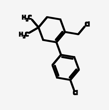 CC1(C)CCC(CCl)=C(c2ccc(Cl)cc2)C1